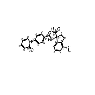 COc1cccc2c1C[CH]C2(NC(=O)c1ccc(-n2ccccc2=O)cc1)C(N)=O